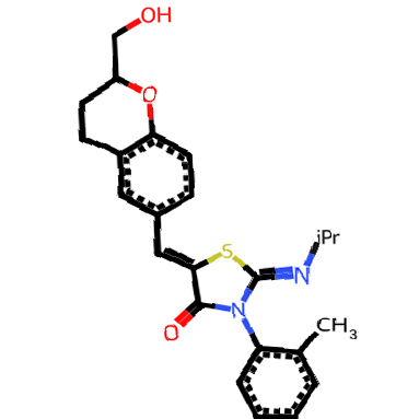 Cc1ccccc1N1C(=O)/C(=C/c2ccc3c(c2)CCC(CO)O3)S/C1=N\C(C)C